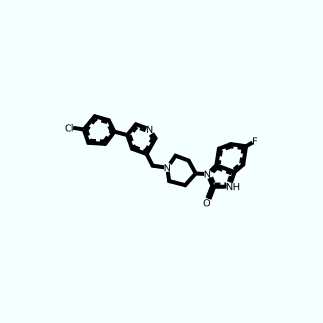 O=c1[nH]c2cc(F)ccc2n1C1CCN(Cc2cncc(-c3ccc(Cl)cc3)c2)CC1